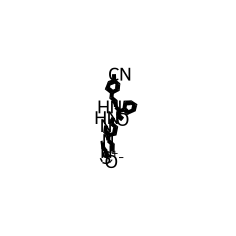 C[S+]([O-])N1CCN(c2ccc(NC(=O)C(NCCc3ccc(C#N)cc3)c3ccccc3)nc2)CC1